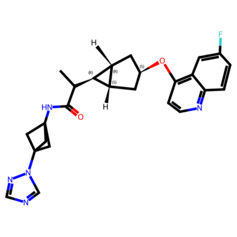 CC(C(=O)NC12CC(n3cncn3)(C1)C2)[C@H]1[C@@H]2C[C@@H](Oc3ccnc4ccc(F)cc34)C[C@@H]21